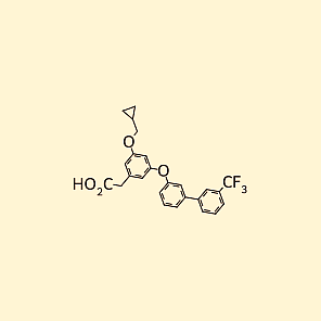 O=C(O)Cc1cc(OCC2CC2)cc(Oc2cccc(-c3cccc(C(F)(F)F)c3)c2)c1